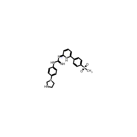 CS(=O)(=O)c1ccc(-c2ccc/c(=N/C(=N)Nc3ccc(N4CCNC4)cc3)[nH]2)cc1